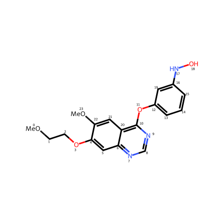 COCCOc1cc2ncnc(Oc3cccc(NO)c3)c2cc1OC